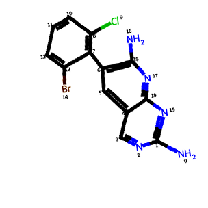 Nc1ncc2cc(-c3c(Cl)cccc3Br)c(N)nc2n1